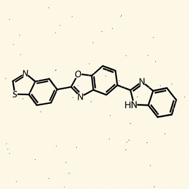 c1ccc2[nH]c(-c3ccc4oc(-c5ccc6scnc6c5)nc4c3)nc2c1